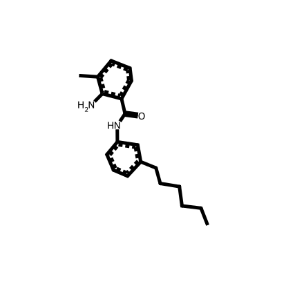 CCCCCCc1cccc(NC(=O)c2cccc(C)c2N)c1